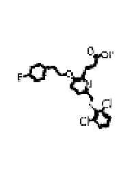 O=C(O)/C=C/c1nc(CSc2c(Cl)cccc2Cl)ccc1OCCc1ccc(F)cc1